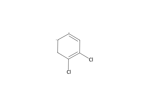 ClC1=C(Cl)C[CH][C]=C1